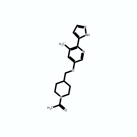 CC(=O)N1CCC(COc2cnc(-c3ccn[nH]3)c(C)c2)CC1